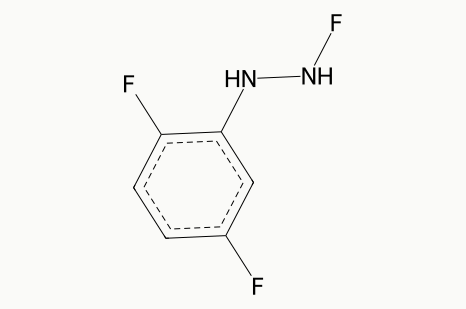 FNNc1cc(F)ccc1F